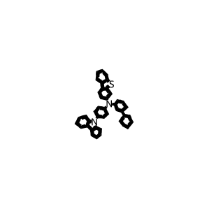 c1ccc(-c2cccc(N(c3ccc(-n4c5ccccc5c5ccccc54)cc3)c3ccc4c(c3)sc3ccccc34)c2)cc1